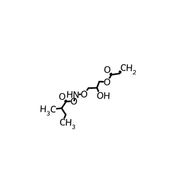 C=CC(=O)OCC(O)CONOC(=O)C(C)CC